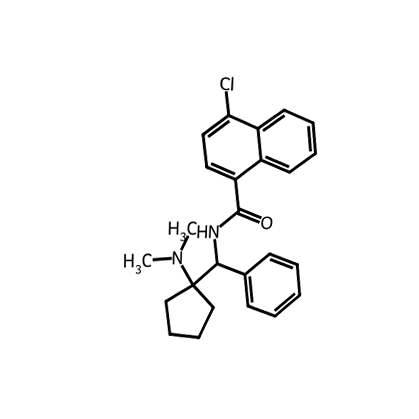 CN(C)C1(C(NC(=O)c2ccc(Cl)c3ccccc23)c2ccccc2)CCCC1